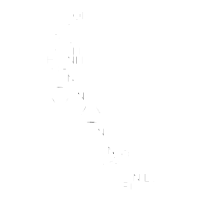 CCN(CC)CCS(=O)(=O)N1CCN(c2ccc(N3CCN(C(=O)NC4[C@@H]5CC6C[C@H]4CC(O)(C6)C5)c4ccccc43)cc2)CC1